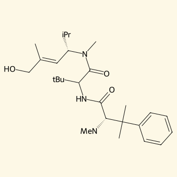 CN[C@H](C(=O)NC(C(=O)N(C)[C@H](/C=C(\C)CO)C(C)C)C(C)(C)C)C(C)(C)c1ccccc1